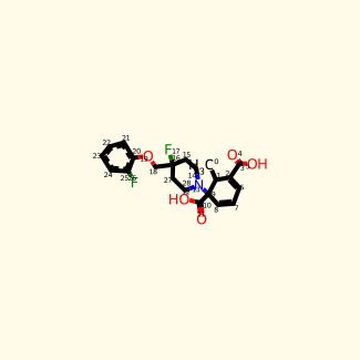 CC1C(C(=O)O)=CC=CC1(C(=O)O)N1CCC(F)(COc2ccccc2F)CC1